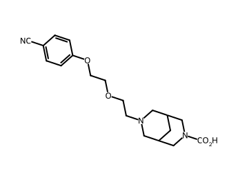 N#Cc1ccc(OCCOCCN2CC3CC(C2)CN(C(=O)O)C3)cc1